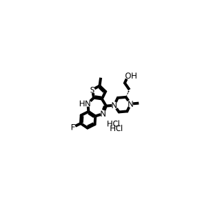 Cc1cc2c(s1)Nc1cc(F)ccc1N=C2N1CCN(C)[C@@H](CCO)C1.Cl.Cl